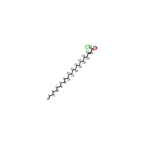 CCCCCCCCCCCCCCCCCCCCCC=CC(=O)Cl